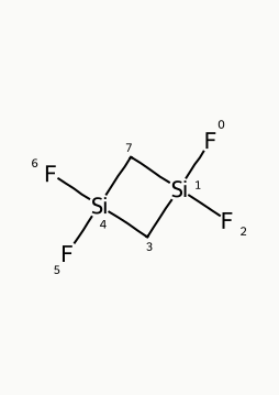 F[Si]1(F)C[Si](F)(F)C1